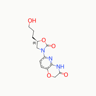 O=C1COc2ccc(N3C[C@@H](CCCO)OC3=O)nc2N1